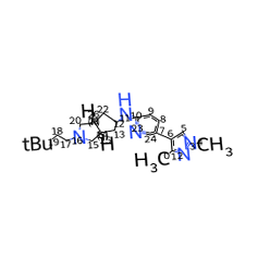 Cc1nn(C)cc1-c1ccc(NC2C[C@@H]3CN(CCC(C)(C)C)C[C@@H]3C2)nc1